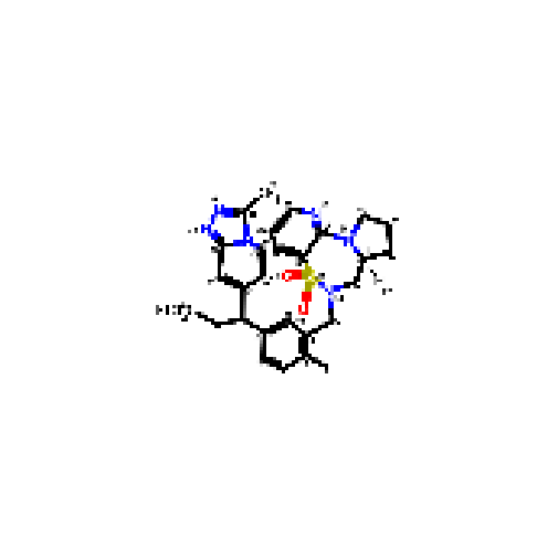 CCOC(=O)CC(c1ccc(C)c(CN2C[C@@H]3CCCN3c3ncccc3S2(=O)=O)c1)c1ccn2c(C(F)(F)F)nnc2c1